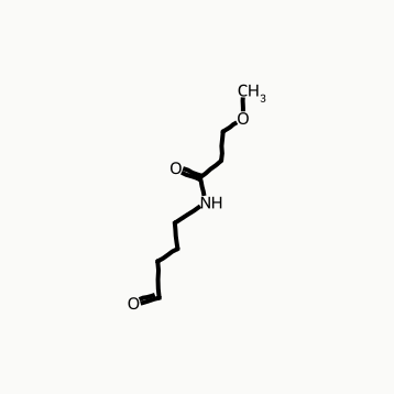 COCCC(=O)NCCCC=O